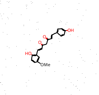 COc1ccc(O)c(C=CC(=O)CC(=O)C=Cc2ccc(O)cc2)c1